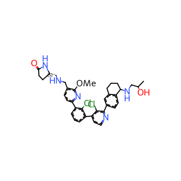 COc1nc(-c2cccc(-c3ccnc(-c4ccc5c(c4)CCCC5NCC(C)O)c3Cl)c2Cl)ccc1CNC[C@@H]1CCC(=O)N1